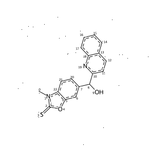 Cn1c(=S)oc2cc(C(O)c3ccc4ccccc4n3)ccc21